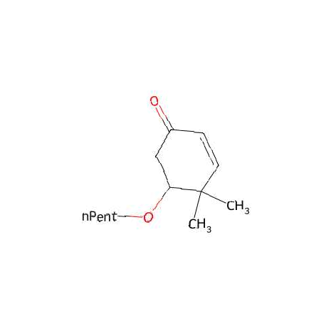 CCCCCOC1CC(=O)C=CC1(C)C